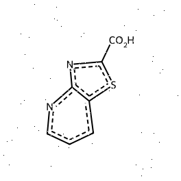 O=C(O)c1nc2ncccc2s1